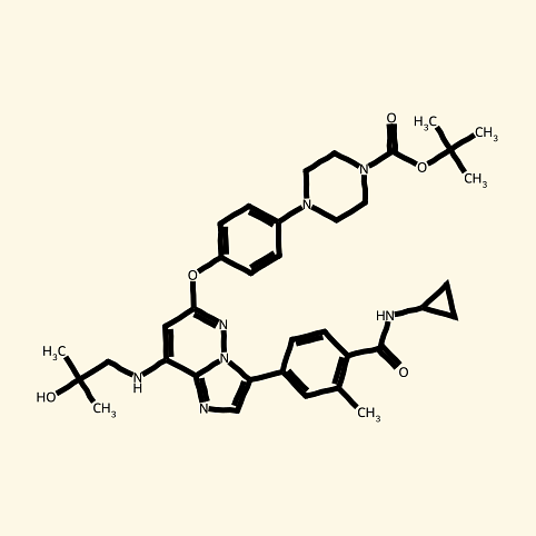 Cc1cc(-c2cnc3c(NCC(C)(C)O)cc(Oc4ccc(N5CCN(C(=O)OC(C)(C)C)CC5)cc4)nn23)ccc1C(=O)NC1CC1